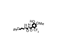 COc1cc(C(F)(F)F)c(C(=O)NC(=O)NCCCOC(C)C)cc1O